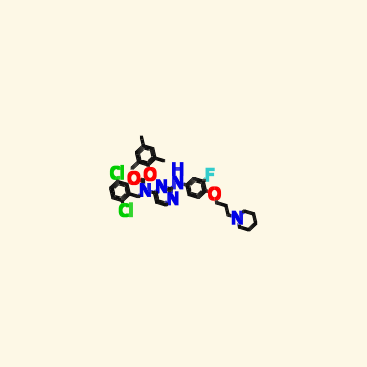 Cc1cc(C)c(OC(=O)N(Cc2cc(Cl)ccc2Cl)c2ccnc(Nc3ccc(OCCCN4CCCCC4)c(F)c3)n2)c(C)c1